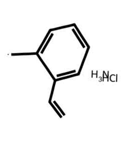 Cl.N.[CH2]c1ccccc1C=C